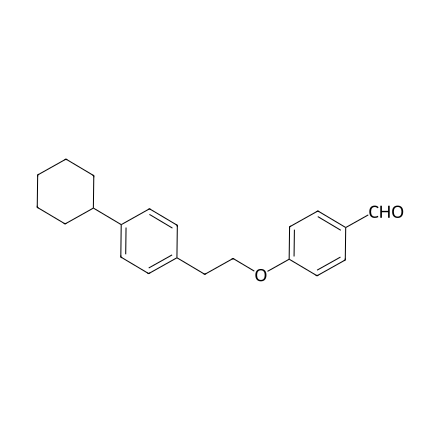 O=Cc1ccc(OCCc2ccc(C3CCCCC3)cc2)cc1